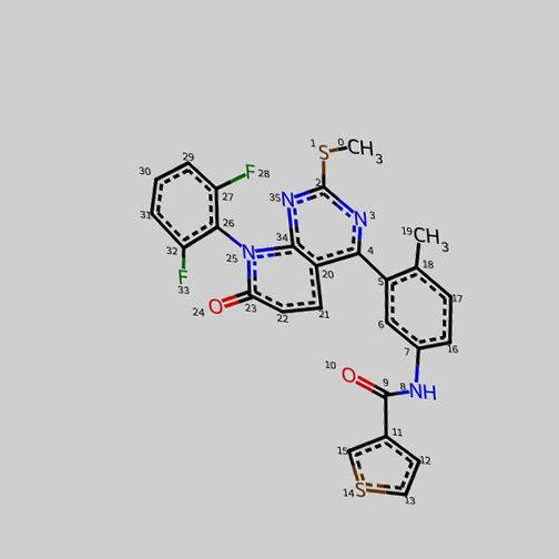 CSc1nc(-c2cc(NC(=O)c3ccsc3)ccc2C)c2ccc(=O)n(-c3c(F)cccc3F)c2n1